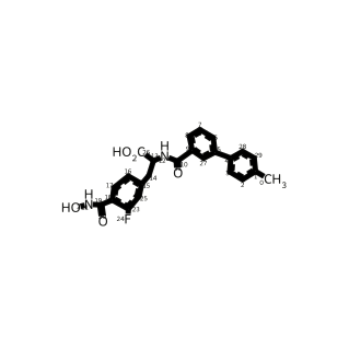 Cc1ccc(-c2cccc(C(=O)NC(Cc3ccc(C(=O)NO)c(F)c3)C(=O)O)c2)cc1